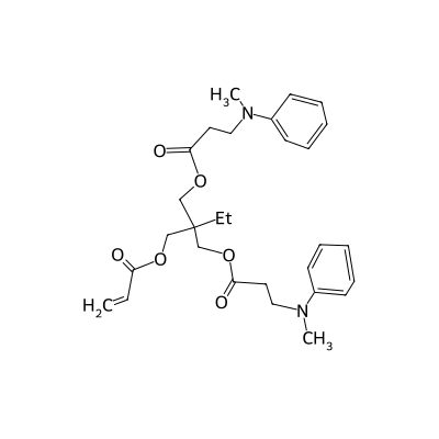 C=CC(=O)OCC(CC)(COC(=O)CCN(C)c1ccccc1)COC(=O)CCN(C)c1ccccc1